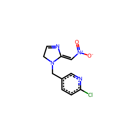 O=[N+]([O-])C=C1N=CCN1Cc1ccc(Cl)nc1